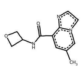 Cc1cc(C(=O)NC2COC2)c2nccn2c1